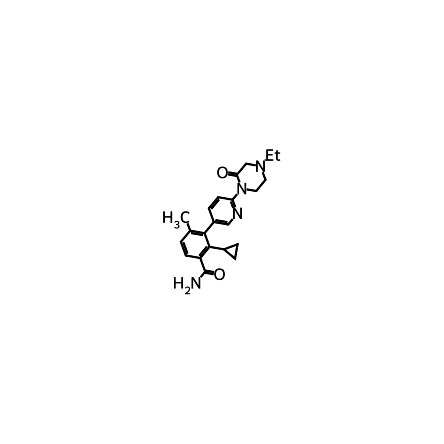 CCN1CCN(c2ccc(-c3c(C)ccc(C(N)=O)c3C3CC3)cn2)C(=O)C1